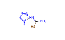 N=C(N)S.c1nnn[nH]1